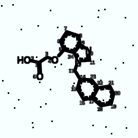 O=C(O)COc1cccc2ncn(Cc3ccc4ccccc4c3)c12